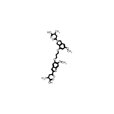 COc1cc2c(c(OCCCOc3cc4cc(C(=O)CC(C)C(=O)O)sc4cc3OC)c1)CN(C(=O)CC(C)C(=O)O)C2